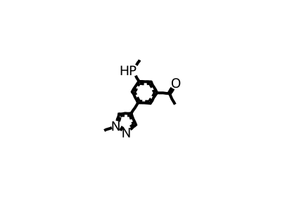 CPc1cc(C(C)=O)cc(-c2cnn(C)c2)c1